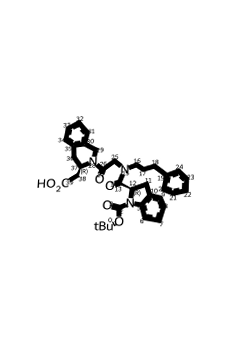 CC(C)(C)OC(=O)N1c2ccccc2C[C@@H]1C(=O)N(CCCc1ccccc1)CC(=O)N1Cc2ccccc2C[C@@H]1CC(=O)O